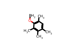 BOc1c(C)cc(C)c(C)c1C